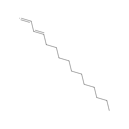 [CH]=CC=CCCCCCCCCCCC